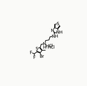 Cc1c(CNCCCNc2nc3cscc3[nH]2)sc(C(F)F)c1Br.Cl.Cl